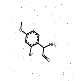 COc1ccc(C(N)[C]=O)c(Br)c1